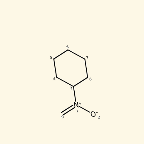 C=[N+]([O-])C1CCCCC1